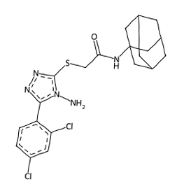 Nn1c(SCC(=O)NC23CC4CC(CC(C4)C2)C3)nnc1-c1ccc(Cl)cc1Cl